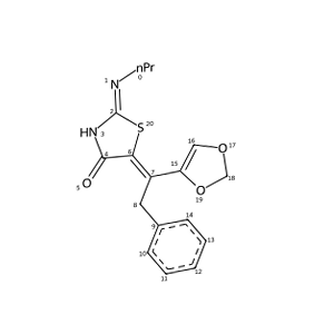 CCCN=C1NC(=O)C(=C(Cc2ccccc2)C2=COCO2)S1